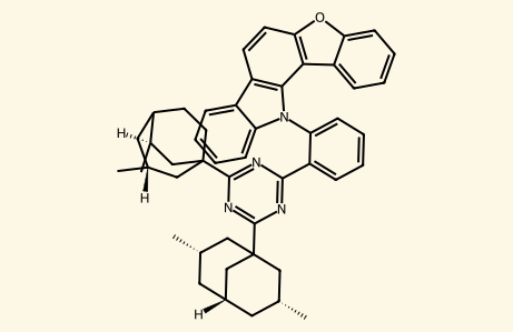 C[C@@H]1C[C@@H]2C[C@H](C)CC(c3nc(-c4ccccc4-n4c5ccccc5c5ccc6oc7ccccc7c6c54)nc(C45CCC(C[C@@H](C)C4)[C@H](C)C5)n3)(C1)C2